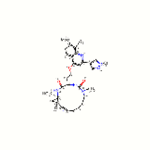 CCn1cc(-c2cc(OCC[C@@H]3NC(=O)N(C)CCCC/C=C\[C@@H]4C[C@@]4(C(=O)O)NC3=O)c3ccc(OC)c(C)c3n2)cn1